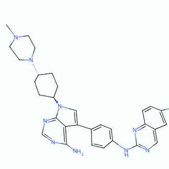 CN1CCN([C@H]2CC[C@H](n3cc(-c4ccc(Nc5ncc6cc(Cl)ccc6n5)cc4)c4c(N)ncnc43)CC2)CC1